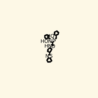 O=C(Nc1ccc(-c2nc3ccccc3s2)cc1)C(C/N=C/c1ccccc1O)/N=C/c1ccccc1O